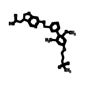 COc1cc(OCCCS(C)(=O)=O)cc(C)c1-c1cccc(COc2cc3c(cn2)C(CC(=O)O)CO3)c1